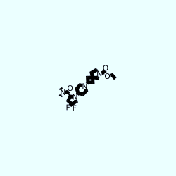 CCOC(=O)N1CCC2(CC(N3CCC(N4CC(F)(F)C[C@H]4C(=O)N(C)C)CC3)C2)C1